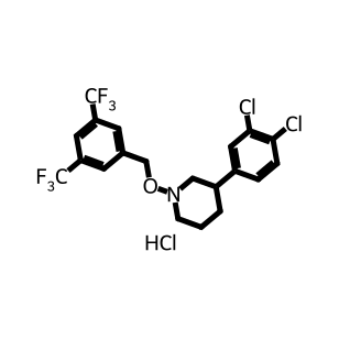 Cl.FC(F)(F)c1cc(CON2CCCC(c3ccc(Cl)c(Cl)c3)C2)cc(C(F)(F)F)c1